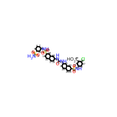 NS(=O)(=O)c1cccc(NS(=O)(=O)c2ccc3ccc(NC(=O)Nc4ccc5ccc(S(=O)(=O)Nc6ccc(Cl)c(C(=O)O)c6)cc5c4)cc3c2)c1